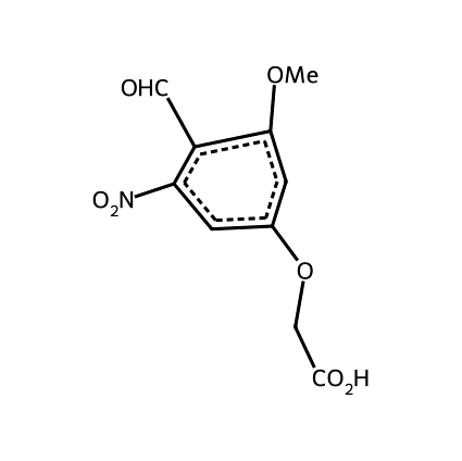 COc1cc(OCC(=O)O)cc([N+](=O)[O-])c1C=O